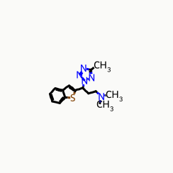 Cc1nnn(C(CCN(C)C)c2cc3ccccc3s2)n1